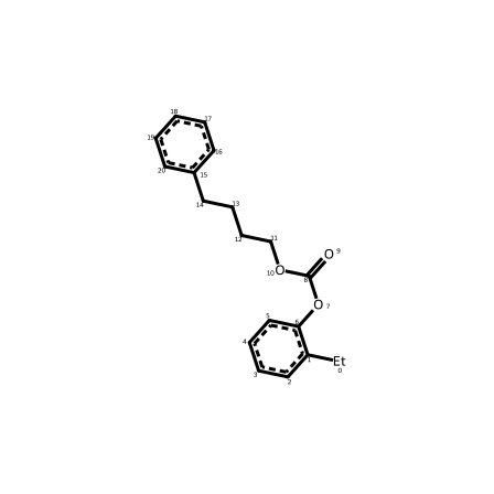 CCc1ccccc1OC(=O)OCCCCc1ccccc1